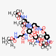 CN(C(=O)OC(C)(C)C)[C@@H]1[C@@H](O)[C@@H](O[C@@H]2[C@@H](O)[C@H](C3OC(CNC(=O)OCc4ccc([N+](=O)[O-])cc4)=CC[C@H]3NCCCCNC(=O)OC(C)(C)C)[C@@H](NC(=O)OC(C)(C)C)C[C@H]2NC(=O)[C@@H](O)CCNC(=O)OC(C)(C)C)OC[C@]1(C)O